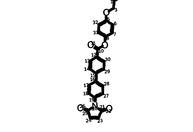 C=C(F)COc1ccc(OC(=O)c2ccc(-c3ccc(N4C(=O)C=CC4=O)cc3)cc2)cc1